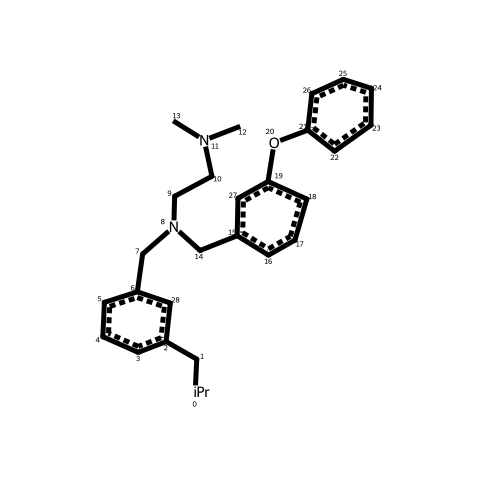 CC(C)Cc1cccc(CN(CCN(C)C)Cc2cccc(Oc3ccccc3)c2)c1